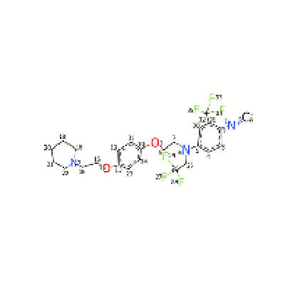 [C-]#[N+]c1ccc(N(CCOc2ccc(OCCN3CCCCC3)cc2)CC(F)(F)F)cc1C(F)(F)F